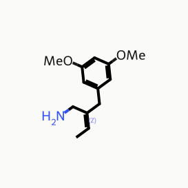 C/C=C(\CN)Cc1cc(OC)cc(OC)c1